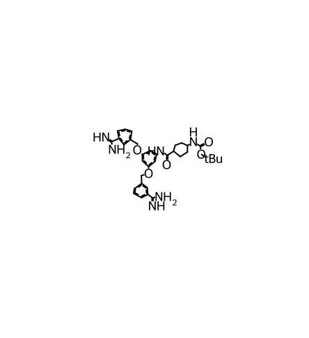 CC(C)(C)OC(=O)NC1CCC(C(=O)Nc2cc(OCc3cccc(C(=N)N)c3)cc(OCc3cccc(C(=N)N)c3)c2)CC1